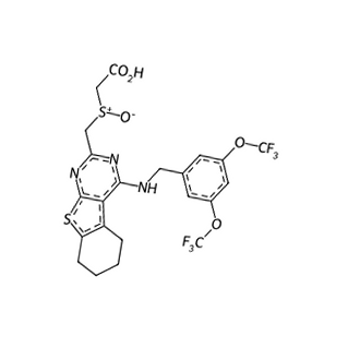 O=C(O)C[S+]([O-])Cc1nc(NCc2cc(OC(F)(F)F)cc(OC(F)(F)F)c2)c2c3c(sc2n1)CCCC3